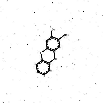 CC(C)(C)c1cc2c(cc1C(C)(C)C)Oc1ccccc1C2